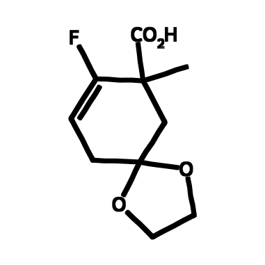 CC1(C(=O)O)CC2(CC=C1F)OCCO2